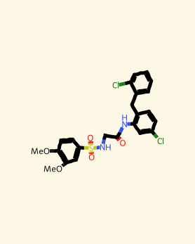 COc1ccc(S(=O)(=O)NCC(=O)Nc2cc(Cl)ccc2Cc2ccccc2Cl)cc1OC